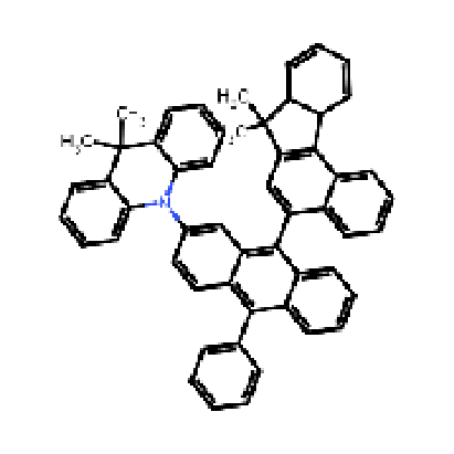 CC1(C)c2ccccc2N(c2ccc3c(-c4ccccc4)c4ccccc4c(-c4cc5c(c6ccccc46)C4C=CC=CC4C5(C)C)c3c2)c2ccccc21